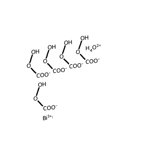 O=C([O-])OO.O=C([O-])OO.O=C([O-])OO.O=C([O-])OO.O=C([O-])OO.[Bi+3].[OH4+2]